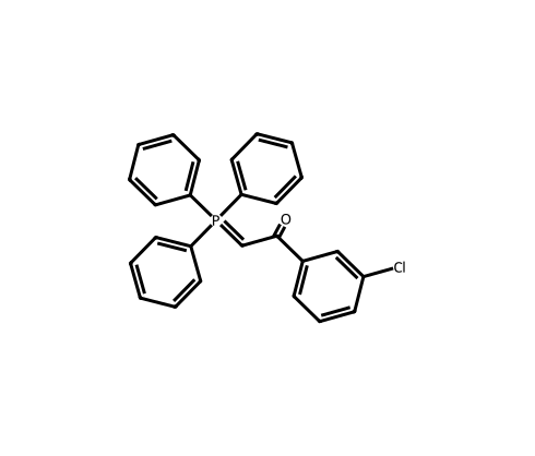 O=C(C=P(c1ccccc1)(c1ccccc1)c1ccccc1)c1cccc(Cl)c1